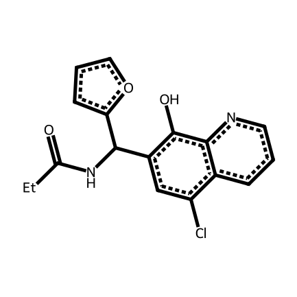 CCC(=O)NC(c1ccco1)c1cc(Cl)c2cccnc2c1O